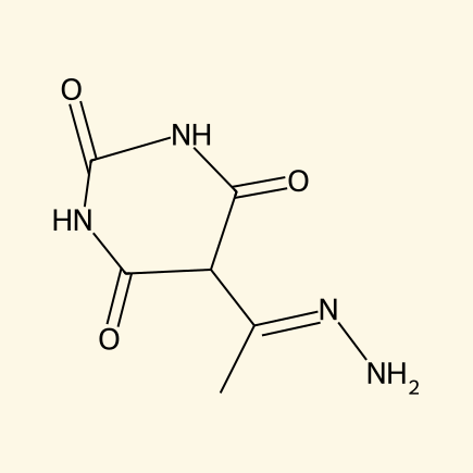 CC(=NN)C1C(=O)NC(=O)NC1=O